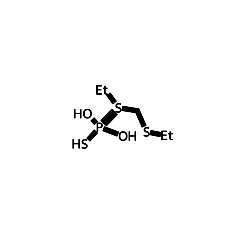 CCSCS(CC)=P(O)(O)S